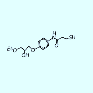 CCOCC(O)COc1ccc(NC(=O)CCS)cc1